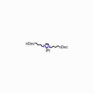 CCCCCCCCCCCCCCN1C=CN(CCCCCCCCCCCCCC)C1C(C)C